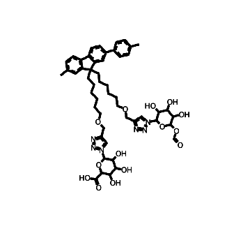 Cc1ccc(-c2ccc3c(c2)C(CCCCCCOCc2cn(C4OC(OC=O)C(O)C(O)C4O)nn2)(CCCCCCOCc2cn(C4OC(C(=O)O)C(O)C(O)C4O)nn2)c2cc(C)ccc2-3)cc1